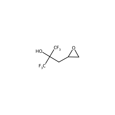 OC(CC1CO1)(C(F)(F)F)C(F)(F)F